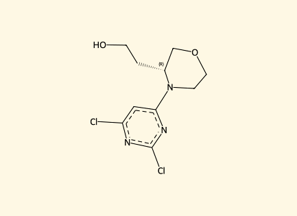 OCC[C@@H]1COCCN1c1cc(Cl)nc(Cl)n1